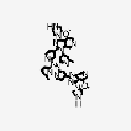 COc1cncc2nc(-c3ccnc(N(c4cccc(C)n4)N(c4cc(-c5nc(N6CCNCC6)c6c(OC)cncc6n5)ccn4)c4cccc(C)n4)c3)nc(N3CCNCC3)c12